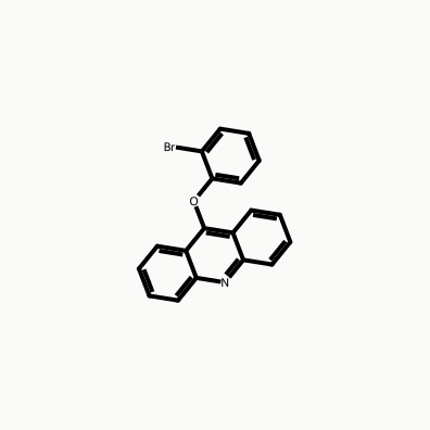 Brc1ccccc1Oc1c2ccccc2nc2ccccc12